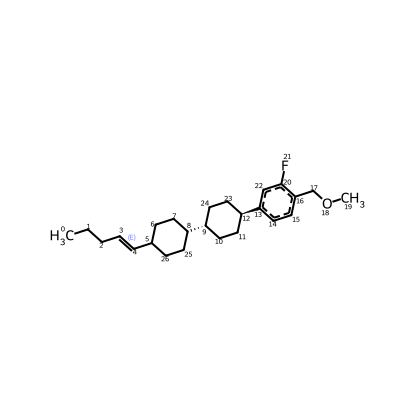 CCC/C=C/C1CCC([C@H]2CC[C@H](c3ccc(COC)c(F)c3)CC2)CC1